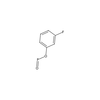 O=POc1cccc(F)c1